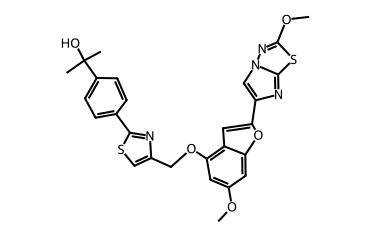 COc1cc(OCc2csc(-c3ccc(C(C)(C)O)cc3)n2)c2cc(-c3cn4nc(OC)sc4n3)oc2c1